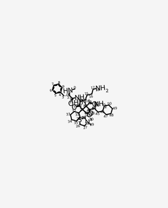 CN[C@@H](Cc1ccccc1)C(=O)N[C@@H](CCCCN)C(=O)C(C(=O)[C@H]1SCC[N+]1(C)C)(C1CCCCC1)[C@](N)([C]=O)C(=O)[C@H](N)CC1CCCCC1